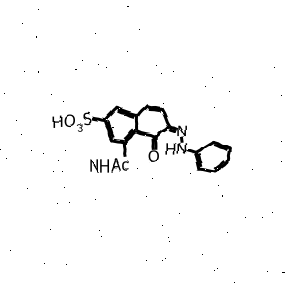 CC(=O)Nc1cc(S(=O)(=O)O)cc2c1C(=O)/C(=N\Nc1ccccc1)C=C2